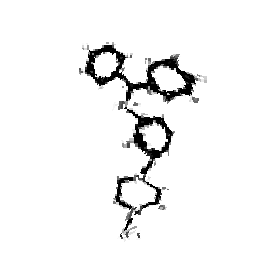 FC(F)(F)N1CCN(c2cccc(NC(c3ccccc3)c3ccccc3)c2)CC1